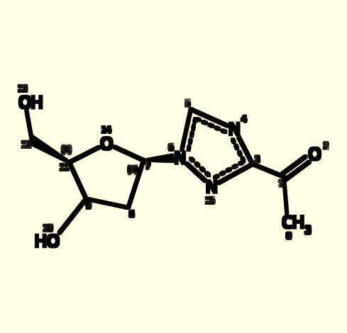 CC(=O)c1ncn([C@H]2CC(O)[C@@H](CO)O2)n1